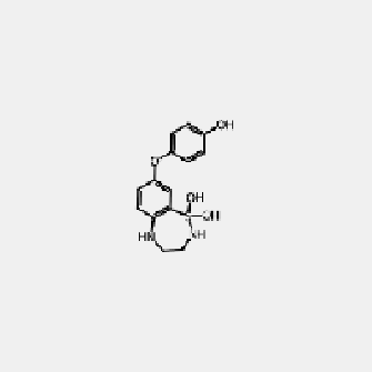 Oc1ccc(Oc2ccc3c(c2)S(O)(O)NCCN3)cc1